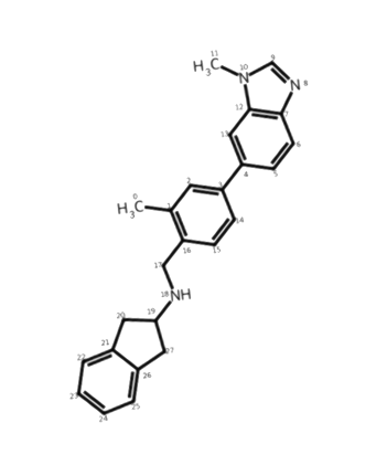 Cc1cc(-c2ccc3ncn(C)c3c2)ccc1CNC1Cc2ccccc2C1